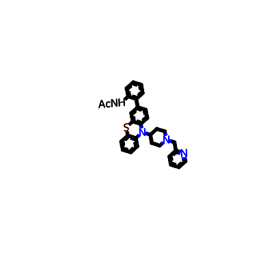 CC(=O)Nc1ccccc1-c1ccc2c(c1)Sc1ccccc1N2C1CCN(Cc2ccccn2)CC1